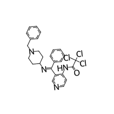 O=C(Nc1ccncc1C(=NC1CCN(Cc2ccccc2)CC1)c1ccccc1)C(Cl)(Cl)Cl